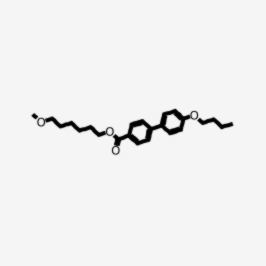 CCCCOc1ccc(-c2ccc(C(=O)OCCCCCCOC)cc2)cc1